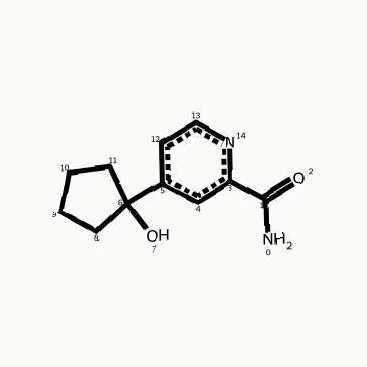 NC(=O)c1cc(C2(O)CCCC2)ccn1